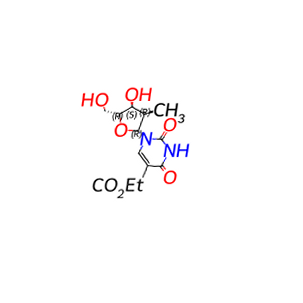 CCOC(=O)c1cn([C@@H]2O[C@H](CO)[C@@H](O)[C@H]2C)c(=O)[nH]c1=O